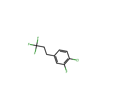 Fc1cc(CCC(F)(F)F)ccc1Cl